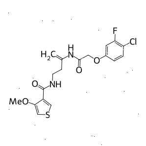 C=C(CCNC(=O)c1cscc1OC)NC(=O)COc1ccc(Cl)c(F)c1